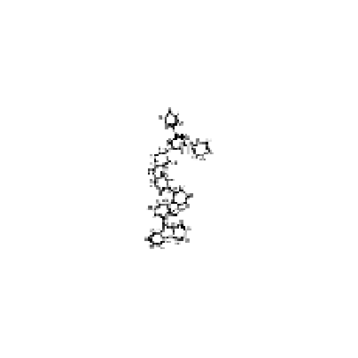 c1ccc(C2=NC(c3ccc4oc5ccc(-c6cccc7sc8c(-n9c%10ccccc%10c%10ccccc%109)cccc8c67)cc5c4c3)NC(c3ccccc3)=N2)cc1